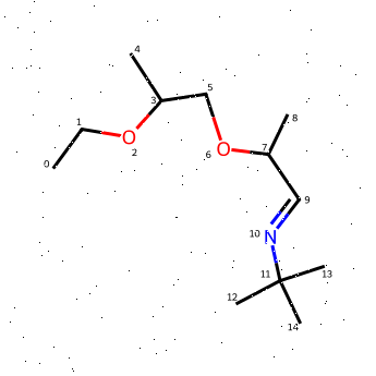 CCOC(C)COC(C)/C=N/C(C)(C)C